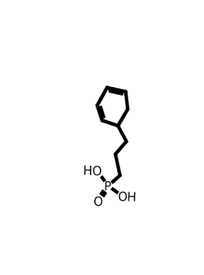 O=P(O)(O)CCCC1C=CC=CC1